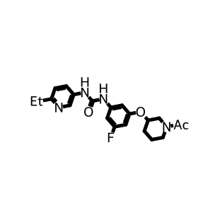 CCc1ccc(NC(=O)Nc2cc(F)cc(OC3CCCN(C(C)=O)C3)c2)cn1